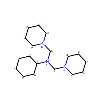 C1CCC(N(CN2CCCCC2)CN2CCCCC2)CC1